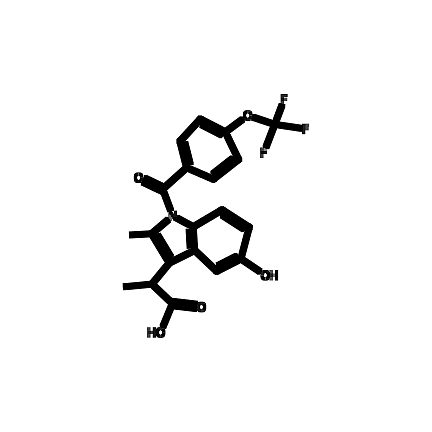 Cc1c(C(C)C(=O)O)c2cc(O)ccc2n1C(=O)c1ccc(OC(F)(F)F)cc1